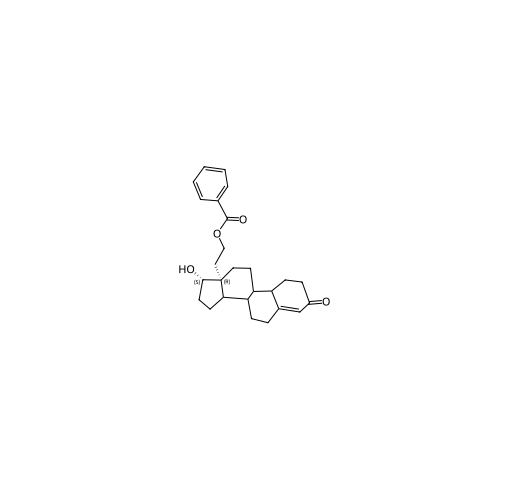 O=C1C=C2CCC3C(CC[C@@]4(CCOC(=O)c5ccccc5)C3CC[C@@H]4O)C2CC1